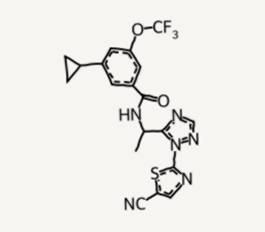 CC(NC(=O)c1cc(OC(F)(F)F)cc(C2CC2)c1)c1ncnn1-c1ncc(C#N)s1